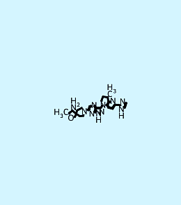 C[C@@H]1OCC2(CCN(c3cnc4c(N5CC[C@H](C)c6nc(-c7ncc[nH]7)ccc65)n[nH]c4n3)CC2)[C@@H]1N